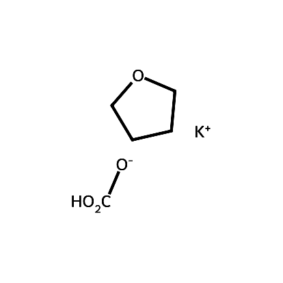 C1CCOC1.O=C([O-])O.[K+]